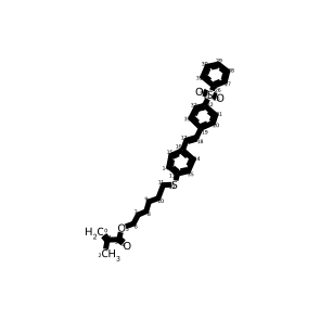 C=C(C)C(=O)OCCCCCCSc1ccc(/C=C/c2ccc(S(=O)(=O)c3ccccc3)cc2)cc1